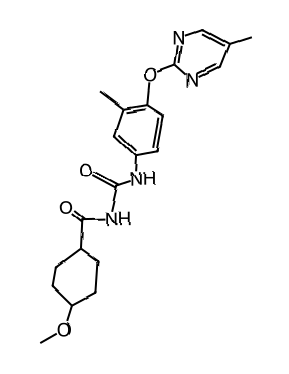 COC1CCC(C(=O)NC(=O)Nc2ccc(Oc3ncc(C)cn3)c(C)c2)CC1